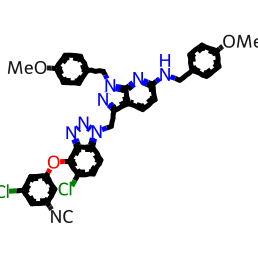 [C-]#[N+]c1cc(Cl)cc(Oc2c(Cl)ccc3c2nnn3Cc2nn(Cc3ccc(OC)cc3)c3nc(NCc4ccc(OC)cc4)ccc23)c1